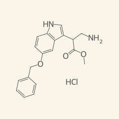 COC(=O)C(CN)c1c[nH]c2ccc(OCc3ccccc3)cc12.Cl